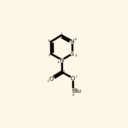 CC(C)(C)OC(=O)N1C=CC=NS1